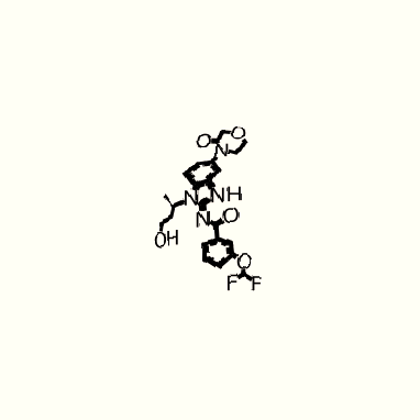 C[C@H](CCO)n1/c(=N/C(=O)c2cccc(OC(F)F)c2)[nH]c2cc(N3CCOCC3=O)ccc21